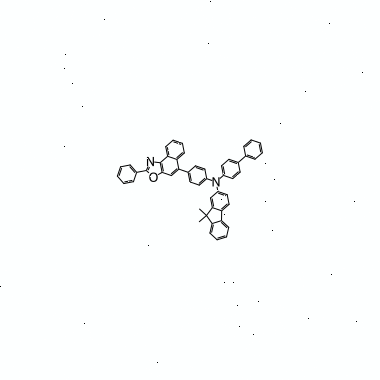 CC1(C)c2ccccc2-c2ccc(N(c3ccc(-c4ccccc4)cc3)c3ccc(-c4cc5oc(-c6ccccc6)nc5c5ccccc45)cc3)cc21